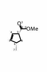 COC(=O)[C@H]1C=C[C@@H](C)C1